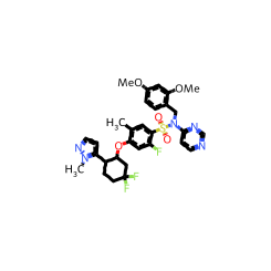 COc1ccc(CN(c2ccncn2)S(=O)(=O)c2cc(C)c(OC3CC(F)(F)CCC3c3ccnn3C)cc2F)c(OC)c1